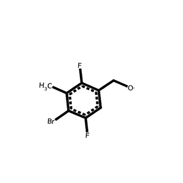 Cc1c(F)c(C[O])cc(F)c1Br